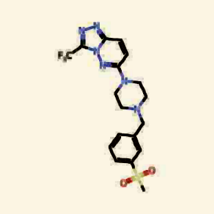 CS(=O)(=O)c1cccc(CN2CCN(c3ccc4nnc(C(F)(F)F)n4n3)CC2)c1